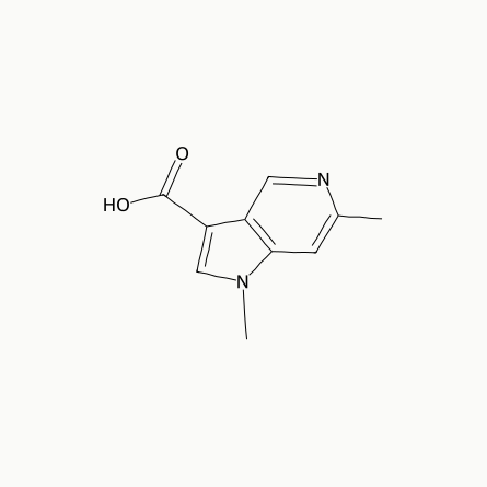 Cc1cc2c(cn1)c(C(=O)O)cn2C